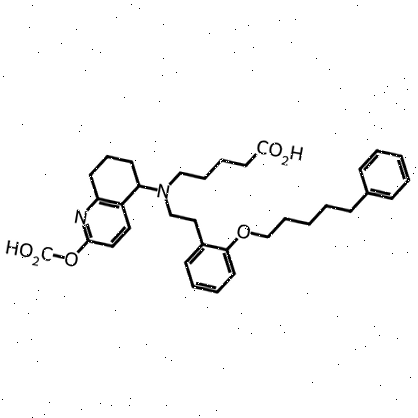 O=C(O)CCCCN(CCc1ccccc1OCCCCCc1ccccc1)C1CCCc2nc(OC(=O)O)ccc21